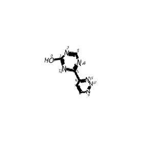 Oc1ncnc(-c2ccnnn2)n1